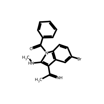 CNc1c(C(C)=N)c2cc(Br)ccc2n1C(=O)c1ccccc1